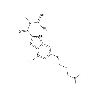 CN(C)CCCOc1cc(C(F)(F)F)c2cc(C(=O)N(C)C(=N)N)[nH]c2c1